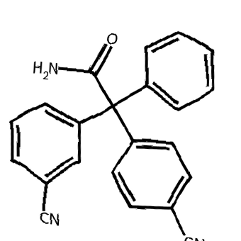 N#Cc1ccc(C(C(N)=O)(c2ccccc2)c2cccc(C#N)c2)cc1